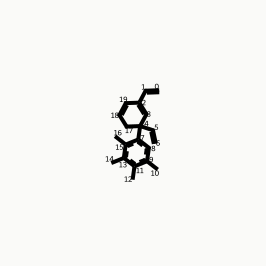 C=CC1=CC(C=C)(c2cc(C)c(C)c(C)c2C)CC=C1